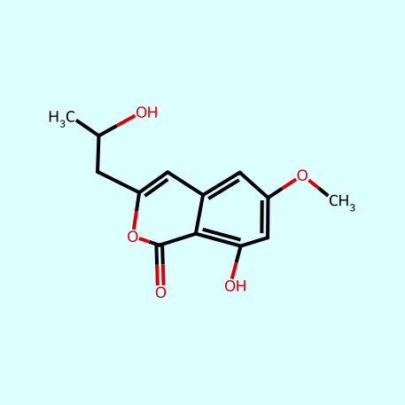 COc1cc(O)c2c(=O)oc(CC(C)O)cc2c1